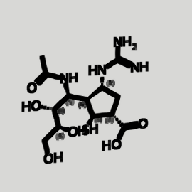 CC(=O)N[C@H]([C@@H](O)[C@@H](O)CO)[C@@H]1[C@H](S)[C@@H](C(=O)O)C[C@H]1NC(=N)N